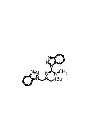 C=N/C(=N\N(Cn1nnc2ccccc21)CC(C)(C)C)n1nnc2ccccc21